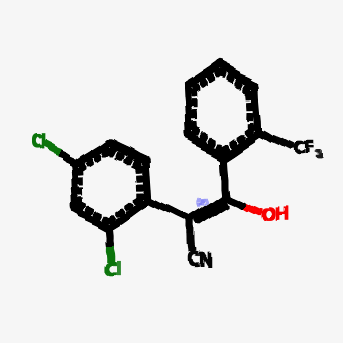 N#C/C(=C(\O)c1ccccc1C(F)(F)F)c1ccc(Cl)cc1Cl